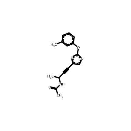 CC(=O)NC(C)C#Cc1cnc(Oc2cccc(C)c2)s1